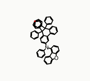 c1ccc(N(c2ccc3c(c2)-c2ccccc2C(c2ccccc2)(c2ccccc2)C3(c2ccccc2)c2ccccc2)c2cccc3oc4ccccc4c23)cc1